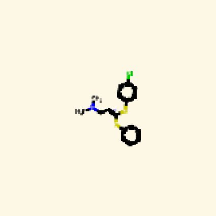 CN(C)C/C=C(\Sc1ccccc1)Sc1ccc(Cl)cc1